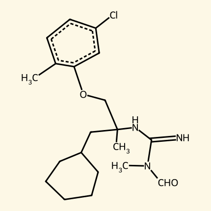 Cc1ccc(Cl)cc1OCC(C)(CC1CCCCC1)NC(=N)N(C)C=O